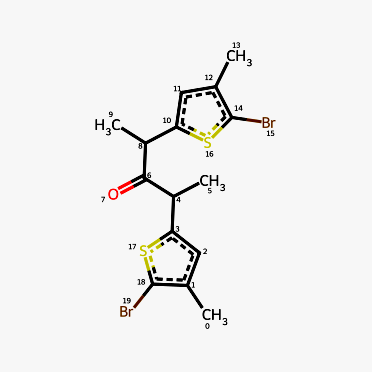 Cc1cc(C(C)C(=O)C(C)c2cc(C)c(Br)s2)sc1Br